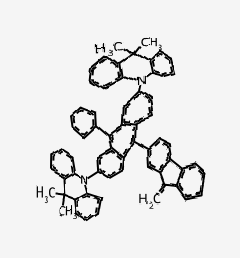 C=C1c2ccccc2-c2ccc(-c3c4ccc(N5c6ccccc6C(C)(C)c6ccccc65)cc4c(-c4ccccc4)c4cc(N5c6ccccc6C(C)(C)c6ccccc65)ccc34)cc21